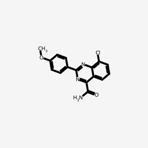 COc1ccc(-c2nc(C(N)=O)c3cccc(Cl)c3n2)cc1